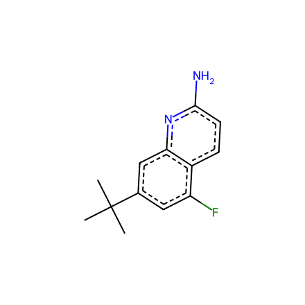 CC(C)(C)c1cc(F)c2ccc(N)nc2c1